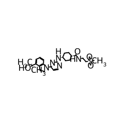 CC(C)(O)c1cccc2c1CCN2c1ccnc(N[C@H]2CC[C@H](C(=O)NCCS(C)(=O)=O)CC2)n1